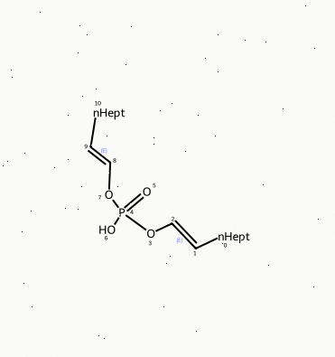 CCCCCCC/C=C/OP(=O)(O)O/C=C/CCCCCCC